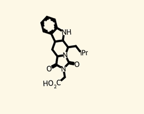 CC(C)CC1C2Nc3ccccc3C2CC2C(=O)N(CC(=O)O)C(=O)N21